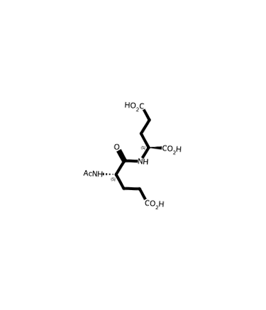 CC(=O)N[C@@H](CCC(=O)O)C(=O)N[C@@H](CCC(=O)O)C(=O)O